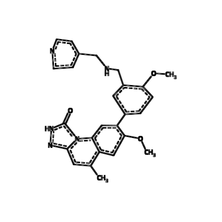 COc1ccc(-c2cc3c(cc2OC)c(C)cc2n[nH]c(=O)n23)cc1CNCc1ccncc1